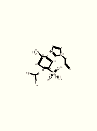 C=CCn1ccnc1.FC(F)F.Nc1ccc(S(N)(=O)=O)cc1